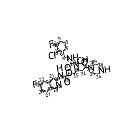 CN(C(=O)NCc1cccc(F)c1Cl)[C@H](COC(=O)Nc1cc2cc(F)ccc2cn1)CC(=O)N1CCNCC1